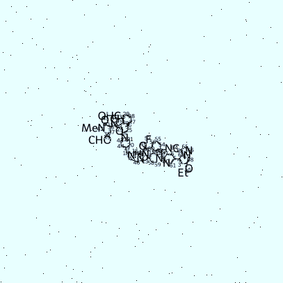 CCOc1cc(-c2ccc(N3CCC(CN4CCN(CC5CCN(C(=O)Cc6cccc(C=O)c6CN(C)C(CCC=O)C(=O)NC)CC5)CC4)(NC(=O)c4cc(F)ccc4F)CC3)nc2)c2c(C#N)cnn2c1